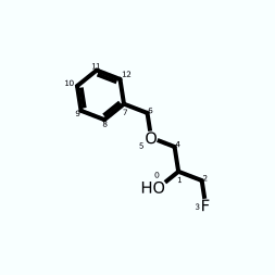 OC(CF)COCc1ccccc1